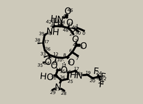 CC[C@H]1OC(=O)C(C)C(=O)[C@H](C)[C@@H](OC2OC(CNCCC(F)(F)F)CC(N(C)C)C2O)[C@](C)(OC)C[C@@H](C)CN[C@H](C)[C@H]2NC(=O)O[C@@]21CC